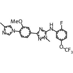 COc1cc(-c2nc(Nc3cc(OC(F)(F)F)ccc3F)n(C)n2)ccc1-n1cnc(C)c1